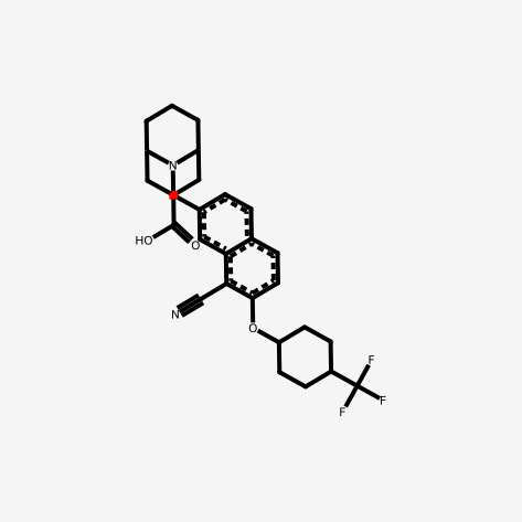 N#Cc1c(OC2CCC(C(F)(F)F)CC2)ccc2ccc(CN3C4CCCC3CC(C(=O)O)C4)cc12